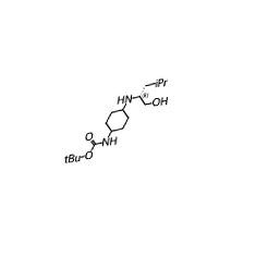 CC(C)C[C@H](CO)NC1CCC(NC(=O)OC(C)(C)C)CC1